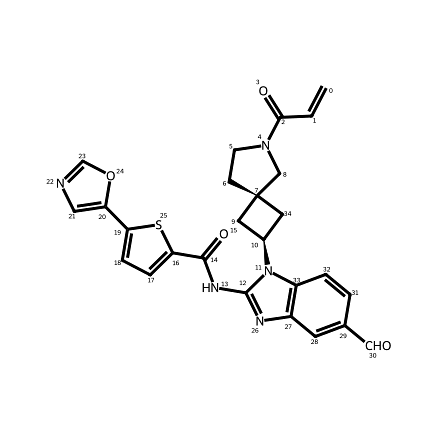 C=CC(=O)N1CC[C@]2(C1)C[C@H](n1c(NC(=O)c3ccc(-c4cnco4)s3)nc3cc(C=O)ccc31)C2